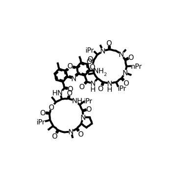 CCCC1C(=O)N(C)CC(=O)N(C)C(C(C)C)C(=O)OC(C)C(NC(=O)c2c3nc4c(C(=O)NC5C(=O)NC(C(C)C)C(=O)N6CCCC6C(=O)N(C)CC(=O)C(C)C(C(C)C)C(=O)OC5C)ccc(C)c4oc-3c(C)c(=O)c2N)C(=O)NC(C(C)C)C(=O)N1C